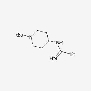 CC(C)C(=N)NC1CCN(C(C)(C)C)CC1